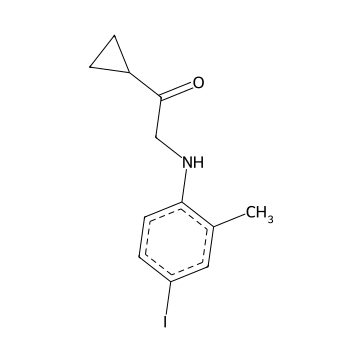 Cc1cc(I)ccc1NCC(=O)C1CC1